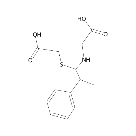 CC(c1ccccc1)C(NCC(=O)O)SCC(=O)O